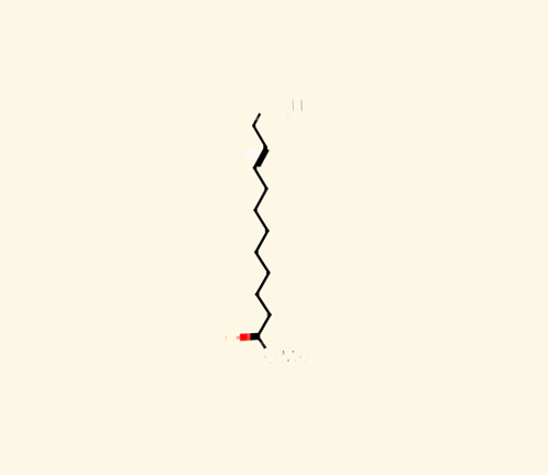 COC(=O)CCCCCCC/C=C/CC(=O)O